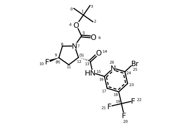 CC(C)(C)OC(=O)N1C[C@H](F)C[C@H]1C(=O)Nc1cc(C(F)(F)F)cc(Br)n1